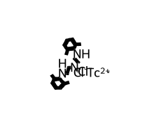 Cc1cccc(C)c1NCCN(C)CCNc1c(C)cccc1C.[Cl-].[Cl-].[Tc+2]